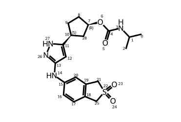 CC(C)NC(=O)O[C@@H]1CC[C@H](c2cc(Nc3ccc4c(c3)CS(=O)(=O)C4)n[nH]2)C1